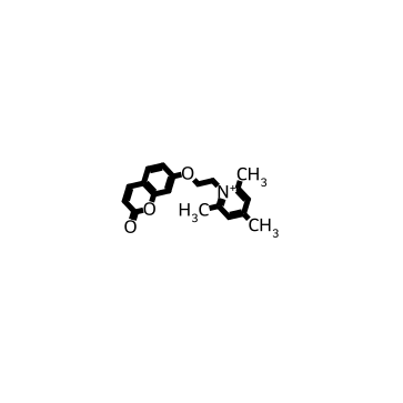 Cc1cc(C)[n+](CCOc2ccc3ccc(=O)oc3c2)c(C)c1